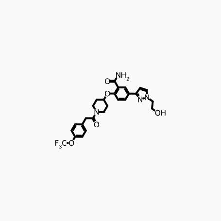 NC(=O)c1cc(-c2ccn(CCO)n2)ccc1OC1CCN(C(=O)Cc2ccc(OC(F)(F)F)cc2)CC1